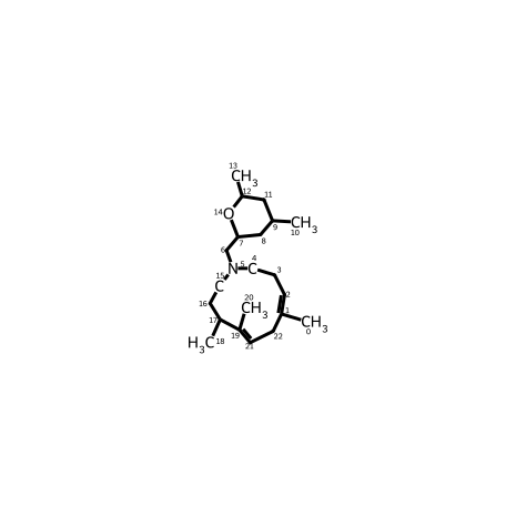 C/C1=C/CCN(CC2CC(C)CC(C)O2)CCC(C)/C(C)=C/C1